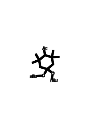 CCCCOC1(OCCCC)CC(C)(C)C(C(C)=O)C(C)(C)C1